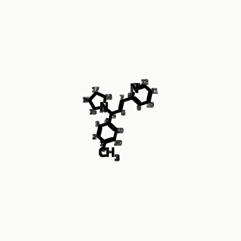 Cc1ccc(C(/C=C/c2ccccn2)N2CCCC2)cc1